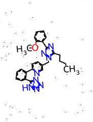 CCCCc1nc(-c2ccccc2OC)nn1Cc1ccc(-c2ccccc2-c2nnn[nH]2)nc1